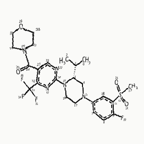 CC(C)[C@@H]1CN(c2ccc(F)c(S(C)(=O)=O)c2)CCN1c1ncc(C(=O)N2CCOCC2)c(C(F)(F)F)n1